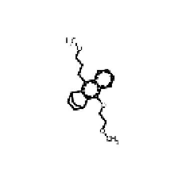 COCCCc1c2c(c(OCCOC)c3ccccc13)C1CCC2CC1